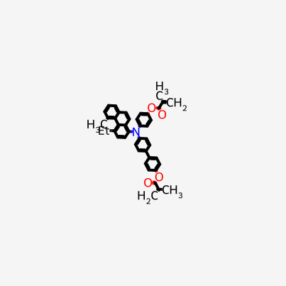 C=C(C)C(=O)Oc1ccc(-c2ccc(N(c3ccc(OC(=O)C(=C)C)cc3)c3ccc(CC)c4c3ccc3cccc(C)c34)cc2)cc1